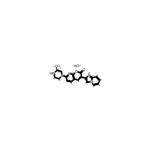 C[C@H]1CN(c2ccc3cc(-c4cn5ccccc5n4)c(=O)oc3n2)CCN1.Cl